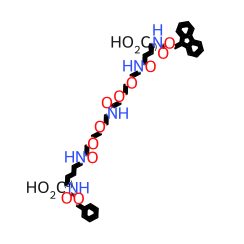 O=C(CC[C@H](NC(=O)OCC1c2ccccc2-c2ccccc21)C(=O)O)NCCOCCOCC(=O)NCCOCCOCC(=O)NCCCC[C@H](NC(=O)OCc1ccccc1)C(=O)O